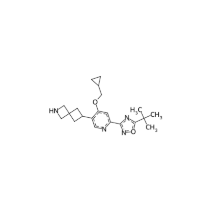 CC(C)(C)c1nc(-c2cc(OCC3CC3)c(C3CC4(CNC4)C3)cn2)no1